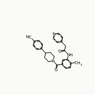 Cc1ccc(C(=O)N2CCC(c3ccc(C#N)cc3)CC2)cc1NC(=O)Cc1ccncc1